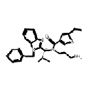 CCc1cc(C(=O)N(CCCN)[C@@H](c2nc3ccccc3n2Cc2ccccc2)C(C)C)cs1